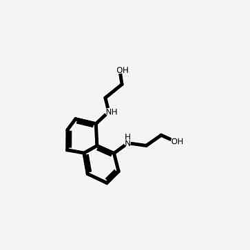 OCCNc1cccc2cccc(NCCO)c12